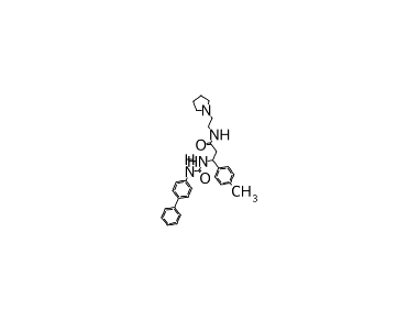 Cc1ccc(C(CC(=O)NCCN2CCCC2)NC(=O)Nc2ccc(-c3ccccc3)cc2)cc1